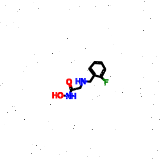 O=C(CNCc1ccccc1F)NO